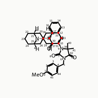 COc1ccc(CN2C(=O)N(c3nc4ccccc4n([C@H]4C[C@H]5CCC[C@@H](C4)N5[C@H]4C[C@@H]5CCC[C@@H](C5)C4)c3=O)C(C)(C)C2=O)cc1